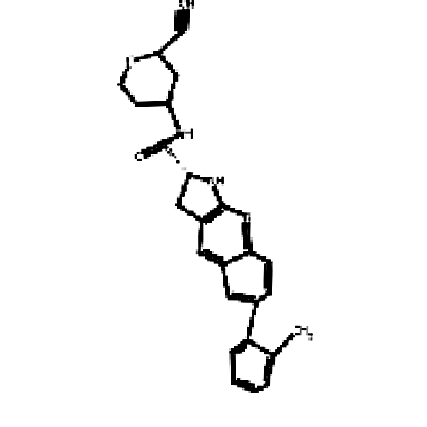 C#CC1CC(NC(=O)[C@H]2Cc3cc4cc(-c5ccccc5C)ccc4nc3N2)CCO1